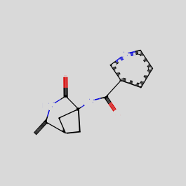 C=C1NC(=O)C2(NC(=O)c3cccnc3)CC1C2